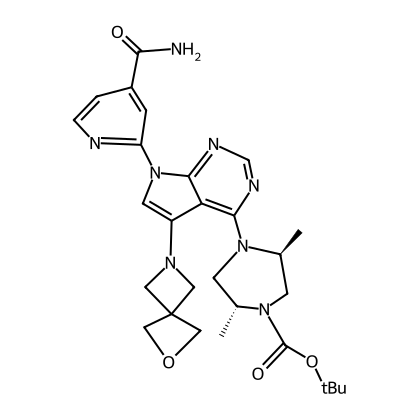 C[C@@H]1CN(c2ncnc3c2c(N2CC4(COC4)C2)cn3-c2cc(C(N)=O)ccn2)[C@@H](C)CN1C(=O)OC(C)(C)C